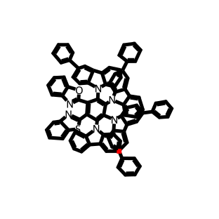 c1ccc(-c2ccc3c(c2)c2ccccc2n3-c2c(-c3nc4ccccc4o3)c(-c3nc4ccccc4s3)c(-n3c4ccccc4c4cc(-c5ccccc5)ccc43)c(-n3c4ccccc4c4cc(-c5ccccc5)ccc43)c2-n2c3ccccc3c3cc(-c4ccccc4)ccc32)cc1